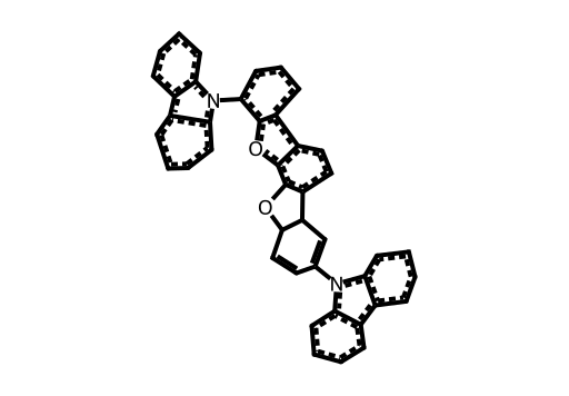 C1=CC2Oc3c(ccc4c3oc3c(-n5c6ccccc6c6ccccc65)cccc34)C2C=C1n1c2ccccc2c2ccccc21